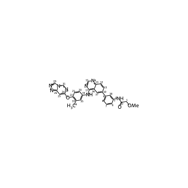 COCC(=O)Nc1cccc(-c2ccc3ncnc(Nc4ccc(Oc5cc6nncn6cn5)c(C)c4)c3c2)c1